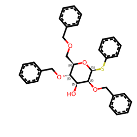 O[C@H]1[C@H](OCc2ccccc2)[C@@H](COCc2ccccc2)O[C@@H](Sc2ccccc2)[C@H]1OCc1ccccc1